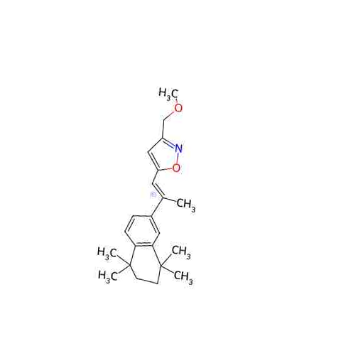 COCc1cc(/C=C(\C)c2ccc3c(c2)C(C)(C)CCC3(C)C)on1